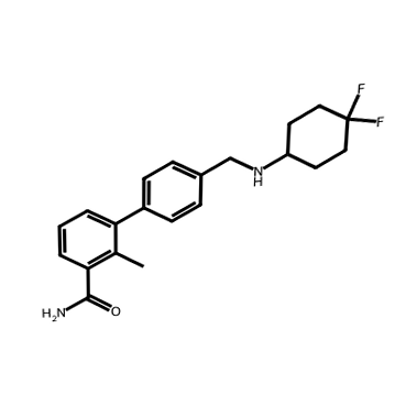 Cc1c(C(N)=O)cccc1-c1ccc(CNC2CCC(F)(F)CC2)cc1